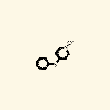 [O-][n+]1ccc(Sc2ccccc2)cc1